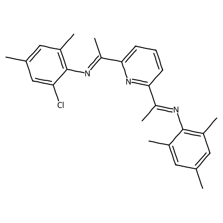 CC(=Nc1c(C)cc(C)cc1C)c1cccc(C(C)=Nc2c(C)cc(C)cc2Cl)n1